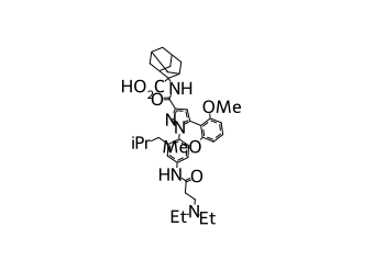 CCN(CC)CCC(=O)Nc1ccc(-n2nc(C(=O)NC3(C(=O)O)C4CC5CC(C4)CC3C5)cc2-c2c(OC)cccc2OC)c(CC(C)C)c1